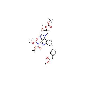 CCOCc1nc2c(N(C(=O)OC(C)(C)C)C(=O)OC(C)(C)C)nc3cc(Cc4ccc(CC(=O)OCC)cc4)ccc3c2n1CC(C)(C)OC(=O)OC(C)(C)C